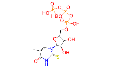 Cc1cn([C@H]2O[C@@H](COP(=O)(O)OP(=O)(O)OP(=O)(O)O)C(O)[C@H]2O)c(=S)[nH]c1=O